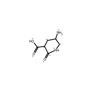 NC1CNC(=O)C(C(=O)O)C1